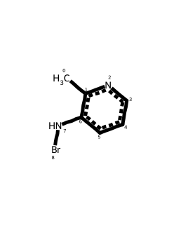 Cc1ncccc1NBr